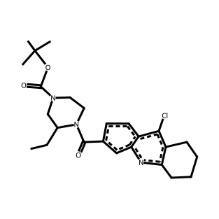 CCC1CN(C(=O)OC(C)(C)C)CCN1C(=O)c1ccc2c(Cl)c3c(nc2c1)CCCC3